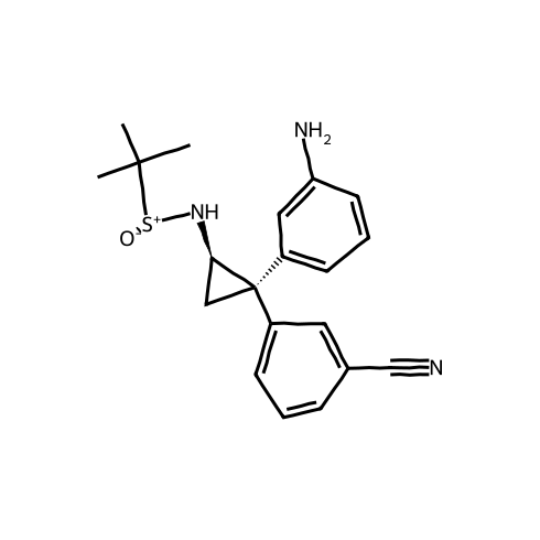 CC(C)(C)[S@@+]([O-])N[C@@H]1C[C@]1(c1cccc(N)c1)c1cccc(C#N)c1